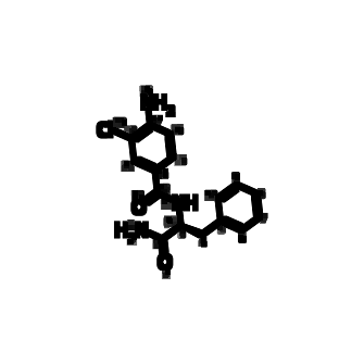 NC(=O)[C@H](Cc1ccccc1)NC(=O)c1ccc(N)c(Cl)c1